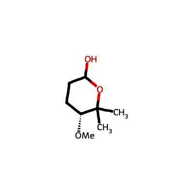 CO[C@@H]1CCC(O)OC1(C)C